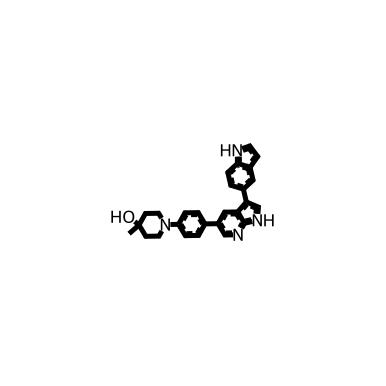 CC1(O)CCN(c2ccc(-c3cnc4[nH]cc(-c5ccc6[nH]ccc6c5)c4c3)cc2)CC1